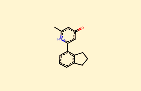 Cc1cc(=O)cc(-c2cccc3c2CCC3)[nH]1